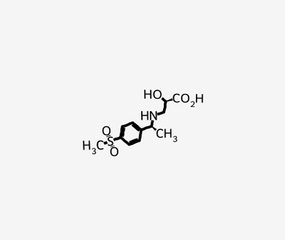 C[C@H](NC[C@@H](O)C(=O)O)c1ccc(S(C)(=O)=O)cc1